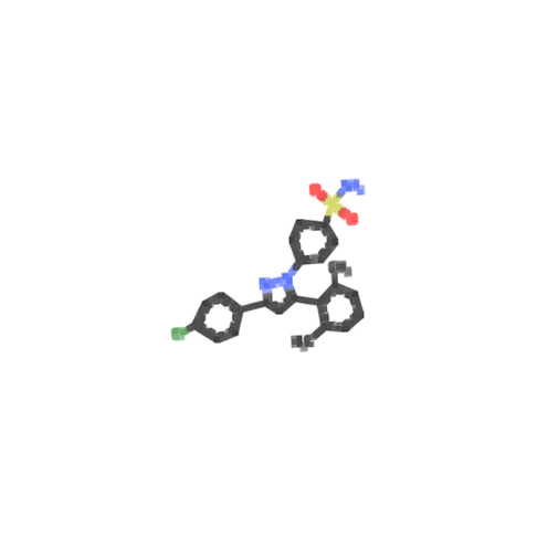 Cc1cccc(C)c1-c1cc(-c2ccc(Cl)cc2)nn1-c1ccc(S(N)(=O)=O)cc1